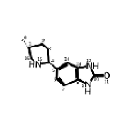 C[C@@H]1CC[C@@H](c2ccc3[nH]c(=O)[nH]c3c2)NC1